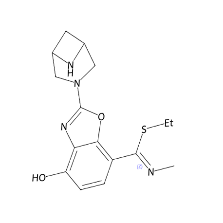 CCS/C(=N\C)c1ccc(O)c2nc(N3CC4CC(C3)N4)oc12